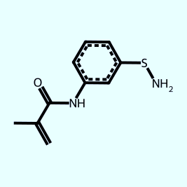 C=C(C)C(=O)Nc1cccc(SN)c1